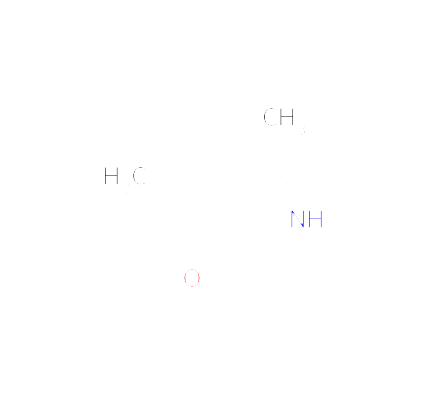 C[C@@H]1NCCO[C@@H]1C